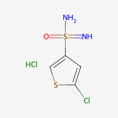 Cl.N=S(N)(=O)c1csc(Cl)c1